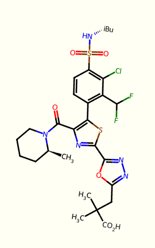 CC[C@@H](C)NS(=O)(=O)c1ccc(-c2sc(-c3nnc(CC(C)(C)C(=O)O)o3)nc2C(=O)N2CCCC[C@@H]2C)c(C(F)F)c1Cl